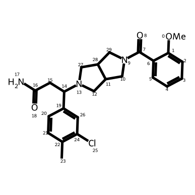 COc1ccccc1C(=O)N1CC2CN(C(CC(N)=O)c3ccc(C)c(Cl)c3)CC2C1